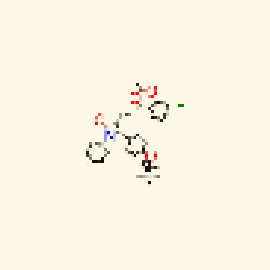 CC(=O)O[C@@H](CCC1C(=O)N(c2ccc(I)cc2)[C@@H]1c1ccc(O[Si](C)(C)C(C)(C)C)cc1)c1ccc(F)cc1